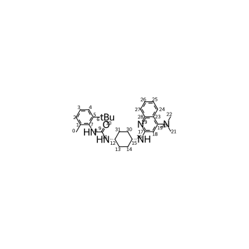 Cc1cccc(C(C)(C)C)c1NC(=O)N[C@H]1CC[C@@H](Nc2cc(N(C)C)c3ccccc3n2)CC1